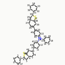 c1ccc(-c2cc3ccc(-c4ccc(N(c5ccccc5)c5ccc(-c6ccc7cc(-c8ccccc8)sc7c6)cc5)cc4)cc3s2)cc1